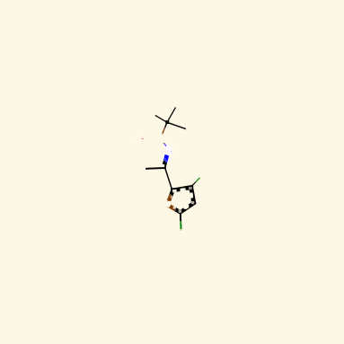 C/C(=N\[S@+]([O-])C(C)(C)C)c1sc(Br)cc1Cl